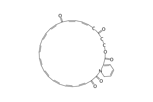 O=C1C=CC=CC=CC=CC=CC=CC=CC=CC(=O)C(=O)N2CC=CC=C2C(=O)OCCC(=O)CC=CC=C1